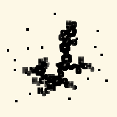 CNC(=O)CCC(CC1(COc2cc3c(N[C@H](C)c4cc(N)cc(C(F)(F)F)c4)nc(C)nc3cc2OC)CC1)N1CCN(c2ccc3c(c2)C(=O)N(C2CCC(=O)NC2=O)C3=O)CC1